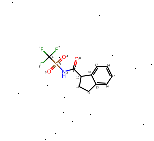 O=C(NS(=O)(=O)C(F)(F)F)C1CCc2ccccc21